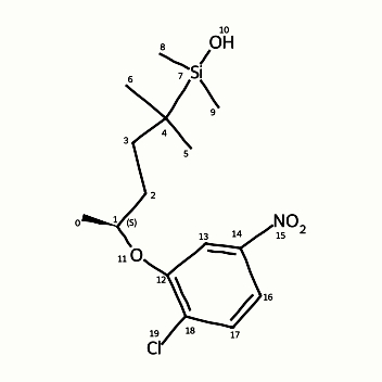 C[C@@H](CCC(C)(C)[Si](C)(C)O)Oc1cc([N+](=O)[O-])ccc1Cl